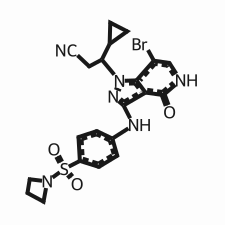 N#CCC(C1CC1)n1nc(Nc2ccc(S(=O)(=O)N3CCC3)cc2)c2c(=O)[nH]cc(Br)c21